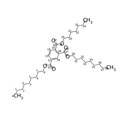 CCCCCCCCCOC(=O)c1ccc(C(=O)OCCCCCCC)c(C(=O)OCCCCCCCCC)c1